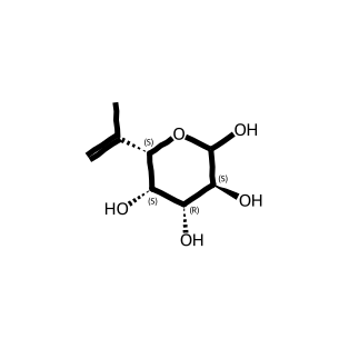 C=C(C)[C@@H]1OC(O)[C@@H](O)[C@H](O)[C@@H]1O